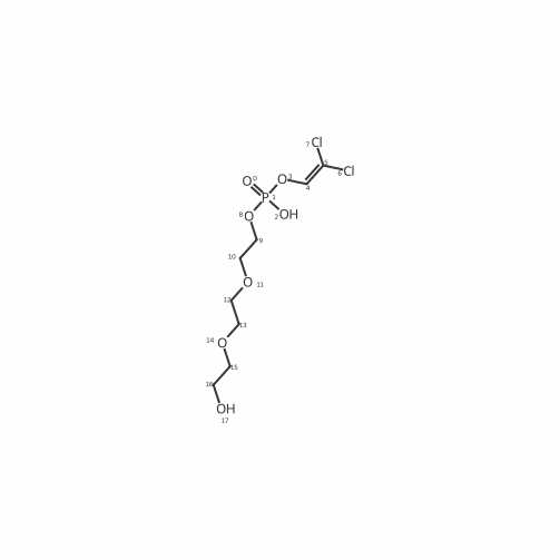 O=P(O)(OC=C(Cl)Cl)OCCOCCOCCO